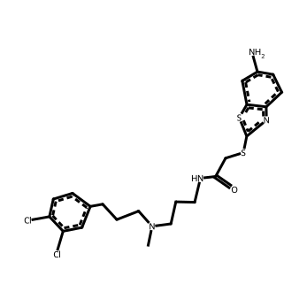 CN(CCCNC(=O)CSc1nc2ccc(N)cc2s1)CCCc1ccc(Cl)c(Cl)c1